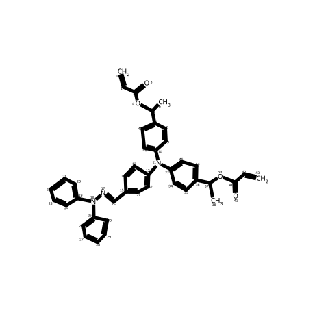 C=CC(=O)OC(C)c1ccc(N(c2ccc(C=NN(c3ccccc3)c3ccccc3)cc2)c2ccc(C(C)OC(=O)C=C)cc2)cc1